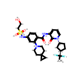 CC(F)(F)[C@@H]1CC[C@@H](n2cccc(NC(=O)c3ccc(NS(=O)(=O)CCO)cc3N3CCC4(CC3)CC4)c2=O)C1